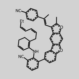 CC/C=C\C=C/CC1=C(Nc2c(C#N)cccc2-c2ccc3oc4cc5oc(C)c(/C=C(\C)c6ccc(C#N)cc6)c5cc4c3c2)C=CCC1